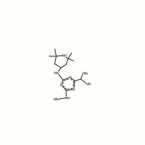 CCCCNc1nc(NC2CC(C)(C)NC(C)(C)C2)nc(C(CCC)CCCC)n1